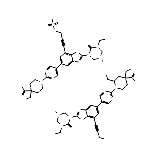 CCC1CC(CC)(C(=O)O)CCN1c1ncc(-c2cc(C#CCO)c3sc(N4CN(C)CN(CC)C4=O)nc3c2)cn1.CCN1CN(C)CN(c2nc3cc(-c4cnc(N5CCC(CC)(C(=O)O)CC5)nc4)cc(C#CCOS(C)(=O)=O)c3s2)C1=O